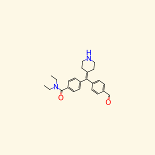 CCN(CC)C(=O)c1ccc(C(=C2CCNCC2)c2ccc(C=O)cc2)cc1